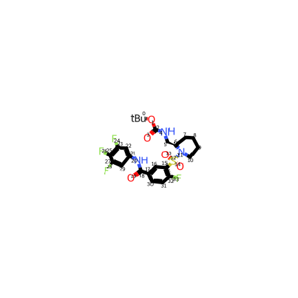 CC(C)(C)OC(=O)NC[C@H]1CCCCN1S(=O)(=O)c1cc(C(=O)Nc2cc(F)c(F)c(F)c2)ccc1F